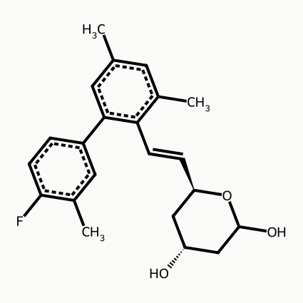 Cc1cc(C)c(/C=C/[C@@H]2C[C@@H](O)CC(O)O2)c(-c2ccc(F)c(C)c2)c1